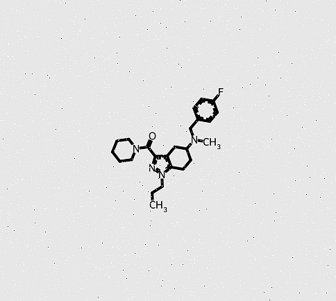 CCCn1nc(C(=O)N2CCCCC2)c2c1CCC(N(C)Cc1ccc(F)cc1)C2